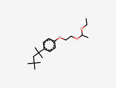 CCOC(C)OCCOc1ccc(C(C)(C)CC(C)(C)C)cc1